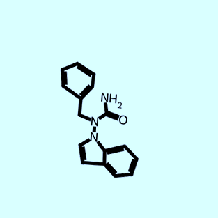 NC(=O)N(Cc1ccccc1)n1ccc2ccccc21